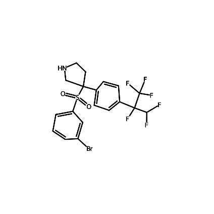 O=S(=O)(c1cccc(Br)c1)C1(c2ccc(C(F)(C(F)F)C(F)(F)F)cc2)CCNC1